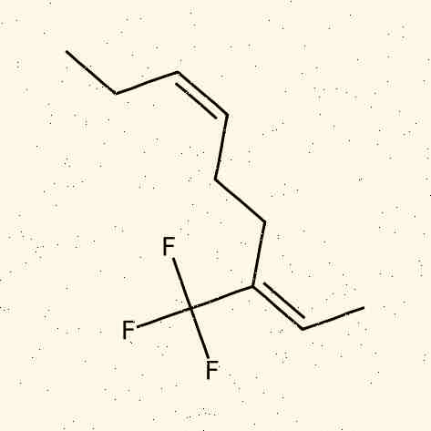 C/C=C(\CC/C=C\CC)C(F)(F)F